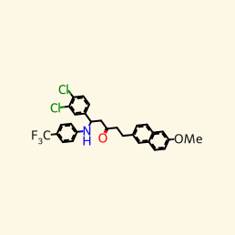 COc1ccc2cc(CCC(=O)CC(Nc3ccc(C(F)(F)F)cc3)c3ccc(Cl)c(Cl)c3)ccc2c1